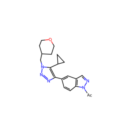 CC(=O)n1ncc2cc(-c3nnn(CC4CCOCC4)c3C3CC3)ccc21